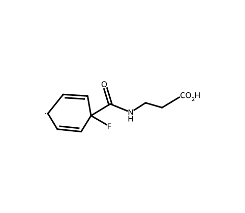 O=C(O)CCNC(=O)C1(F)C=C[CH]C=C1